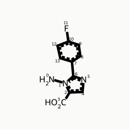 Nn1c(C(=O)O)cnc1-c1ccc(F)cc1